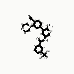 Cc1ncc(NC(=O)c2cccc(C(F)(F)F)c2)cc1-c1ccc(C#N)c(N2CCOCC2)c1